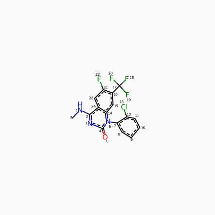 CNc1nc(=O)n(-c2ccccc2Cl)c2cc(C(F)(F)F)c(F)cc12